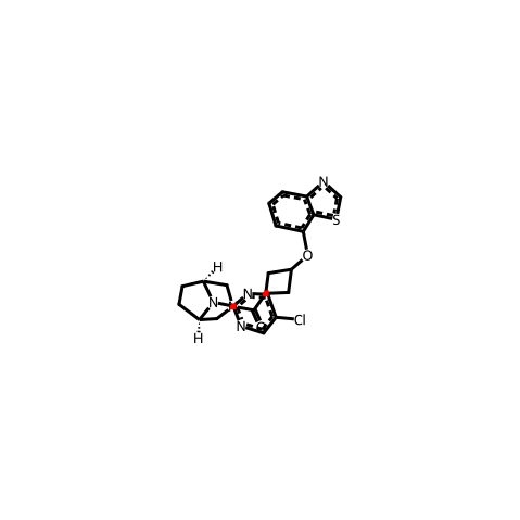 O=C(C1CC(Oc2cccc3ncsc23)C1)N1C[C@H]2CC[C@@H](C1)N2c1ncc(Cl)cn1